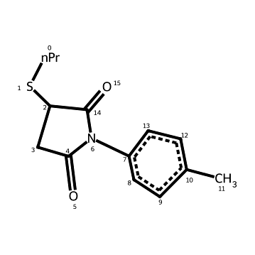 CCCSC1CC(=O)N(c2ccc(C)cc2)C1=O